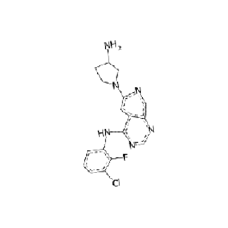 NC1CCN(c2cc3c(Nc4cccc(Cl)c4F)ncnc3cn2)C1